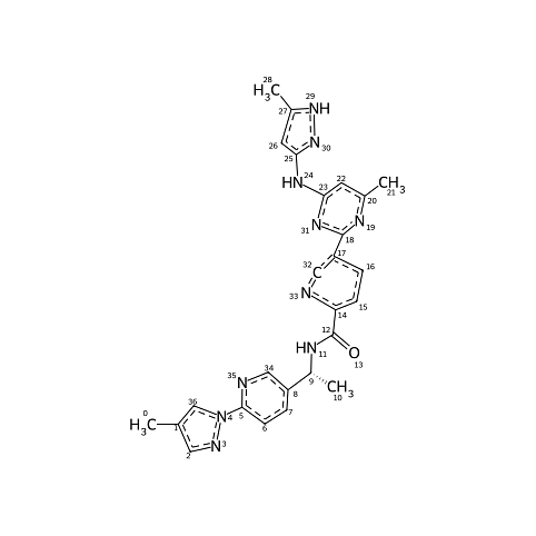 Cc1cnn(-c2ccc([C@@H](C)NC(=O)c3ccc(-c4nc(C)cc(Nc5cc(C)[nH]n5)n4)cn3)cn2)c1